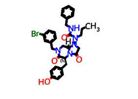 CCCN(C(=O)NCc1ccccc1)N1CC(=O)N2[C@@H](Cc3ccc(O)cc3)C(=O)N(Cc3cccc(Br)c3)C[C@@H]21